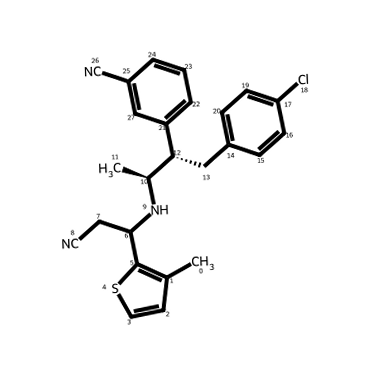 Cc1ccsc1C(CC#N)N[C@@H](C)[C@@H](Cc1ccc(Cl)cc1)c1cccc(C#N)c1